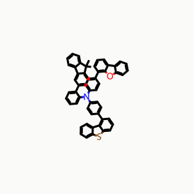 CC1(C)c2ccccc2-c2cc(-c3ccccc3N(c3ccc(-c4cccc5c4oc4ccccc45)cc3)c3ccc(-c4cccc5sc6ccccc6c45)cc3)ccc21